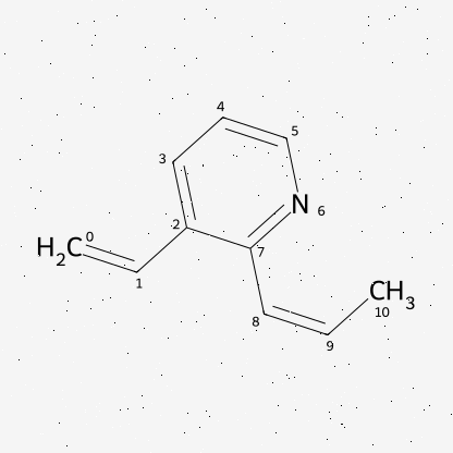 C=Cc1cccnc1/C=C\C